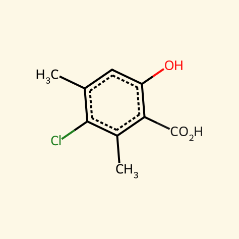 Cc1cc(O)c(C(=O)O)c(C)c1Cl